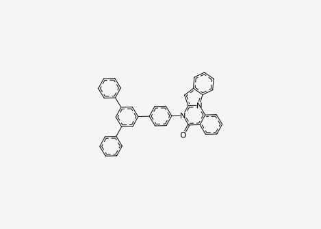 O=c1c2ccccc2n2c3ccccc3cc2n1-c1ccc(-c2cc(-c3ccccc3)cc(-c3ccccc3)c2)cc1